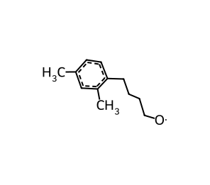 Cc1ccc(CCCC[O])c(C)c1